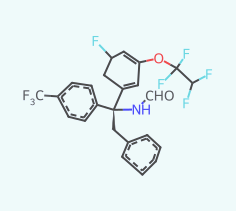 O=CN[C@@](Cc1ccccc1)(C1=CC(OC(F)(F)C(F)F)=CC(F)C1)c1ccc(C(F)(F)F)cc1